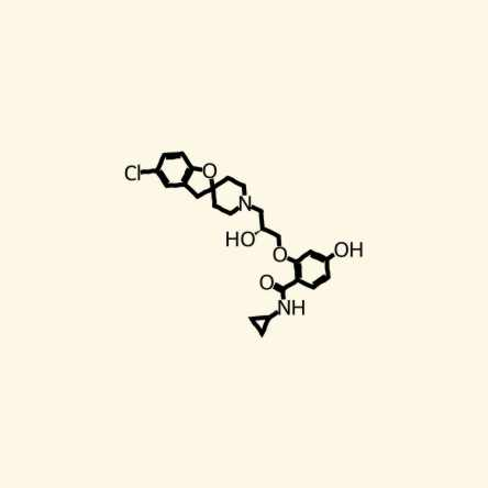 O=C(NC1CC1)c1ccc(O)cc1OC[C@H](O)CN1CCC2(CC1)Cc1cc(Cl)ccc1O2